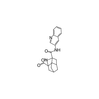 CC1C2(C(=O)O)CC3CC(C2)CC1(C(=O)Nc1cnc2ccccc2c1)C3